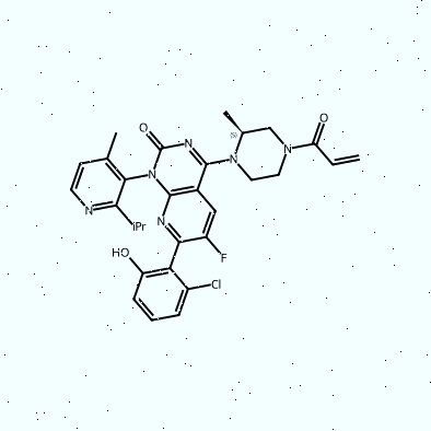 C=CC(=O)N1CCN(c2nc(=O)n(-c3c(C)ccnc3C(C)C)c3nc(-c4c(O)cccc4Cl)c(F)cc23)[C@@H](C)C1